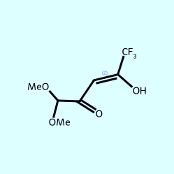 COC(OC)C(=O)/C=C(\O)C(F)(F)F